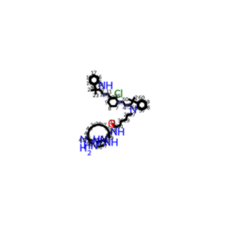 CC1(C)/C(=C\C=C2/CCCC(/C=C/C3Nc4ccccc4C3(C)C)=C2Cl)N(CCCCCC(=O)NC23CCCCCCC(N)(CNCCNC2)CNCCNC3)c2ccccc21